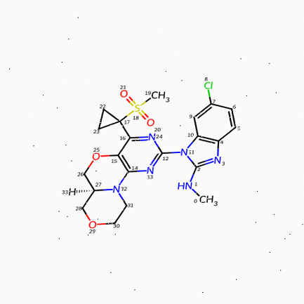 CNc1nc2ccc(Cl)cc2n1-c1nc2c(c(C3(S(C)(=O)=O)CC3)n1)OC[C@@H]1COCCN21